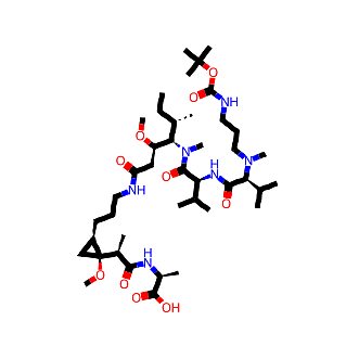 CC[C@H](C)[C@@H]([C@@H](CC(=O)NCCC[C@@H]1C[C@@]1(OC)[C@@H](C)C(=O)N[C@@H](C)C(=O)O)OC)N(C)C(=O)[C@@H](NC(=O)[C@H](C(C)C)N(C)CCCNC(=O)OC(C)(C)C)C(C)C